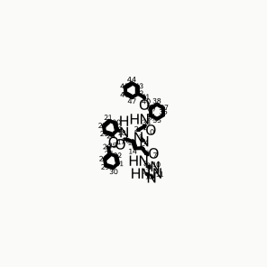 O=C(Cn1nc(C(=O)Nc2nnn[nH]2)cc1C(=O)Nc1ccccc1OCc1ccccc1)N[C@H]1CCCC[C@@H]1OCc1ccccc1